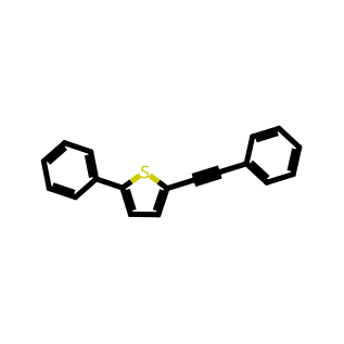 C(#Cc1ccc(-c2ccccc2)s1)c1ccccc1